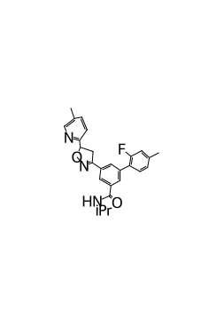 Cc1ccc(C2CC(c3cc(C(=O)NC(C)C)cc(-c4ccc(C)cc4F)c3)=NO2)nc1